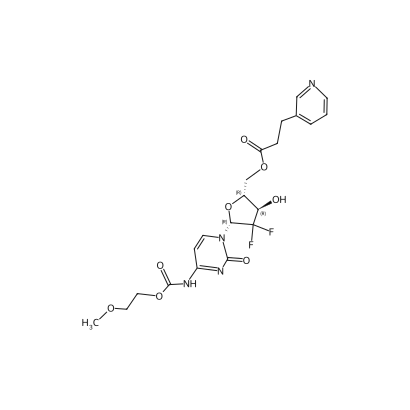 COCCOC(=O)Nc1ccn([C@@H]2O[C@H](COC(=O)CCc3cccnc3)[C@@H](O)C2(F)F)c(=O)n1